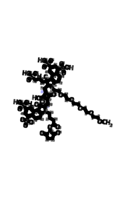 COCCOCCOCCOCCOCC[N+]1=C(/C=C2\C(=O)C(/C=C3/N(CCCC(=O)ON4C(=O)CCC4=O)c4ccc5c(S(=O)(=O)[O-])cc(S(=O)(=O)O)cc5c4C3(C)C)=C2O)C(C)(CCCS(=O)(=O)O)c2c1ccc1c(S(=O)(=O)O)cc(S(=O)(=O)O)cc21